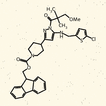 COCC(C)(C)C(=O)n1nc(C2CCN(C(=O)OCC3c4ccccc4-c4ccccc43)CC2)cc1NCc1ccc(Cl)s1